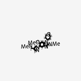 CNCc1cnn(-c2cc3nc(NC)n(C4CCOCC4)c3cc2OC)c1